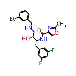 CCc1cccc(CNC[C@H](O)[C@@H](Cc2cc(F)cc(F)c2)NC(=O)c2coc(C)n2)c1